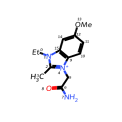 CCn1c(C)[n+](CC(N)=O)c2ccc(OC)cc21